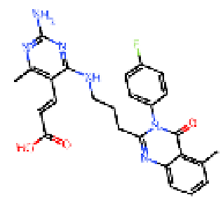 Cc1nc(N)nc(NCCCc2nc3cccc(C)c3c(=O)n2-c2ccc(F)cc2)c1/C=C/C(=O)O